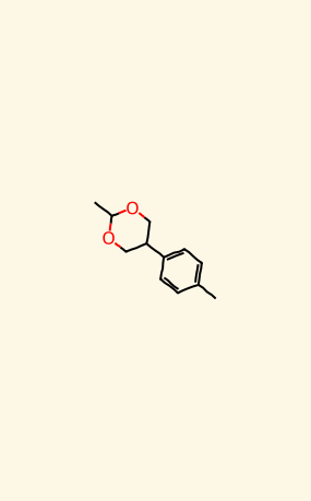 Cc1ccc(C2COC(C)OC2)cc1